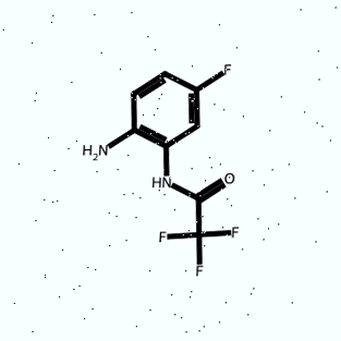 Nc1ccc(F)cc1NC(=O)C(F)(F)F